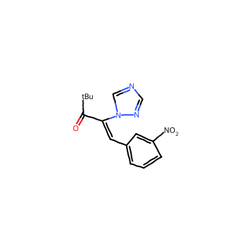 CC(C)(C)C(=O)C(=Cc1cccc([N+](=O)[O-])c1)n1cncn1